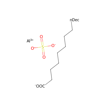 CCCCCCCCCCCCCCCCCC(=O)[O-].O=S(=O)([O-])[O-].[Al+3]